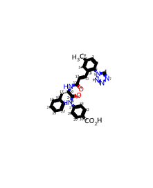 Cc1ccc(-n2cnnn2)c(C=CC(=O)N[C@@H](Cc2ccccc2)C(=O)Nc2ccc(C(=O)O)cc2)c1